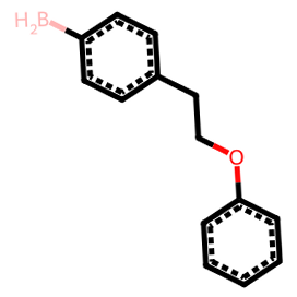 Bc1ccc(CCOc2ccccc2)cc1